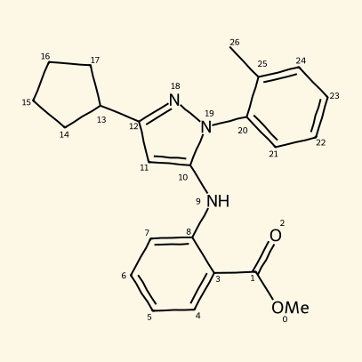 COC(=O)c1ccccc1Nc1cc(C2CCCC2)nn1-c1ccccc1C